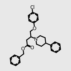 O=C(CC(COc1ccc(Cl)cc1)N1CCC(c2ccccc2)CC1)OCc1ccccc1